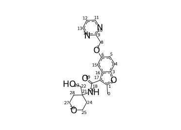 Cc1oc2ccc(OCc3ncccn3)cc2c1C(=O)NC1(CO)CCOCC1